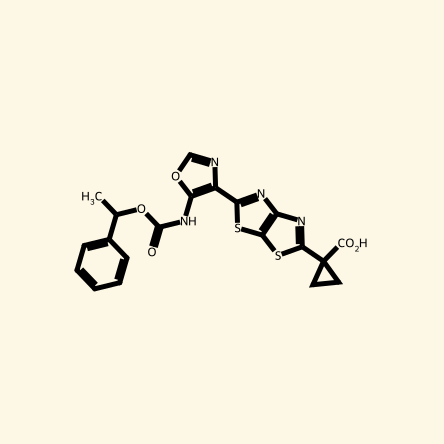 CC(OC(=O)Nc1ocnc1-c1nc2nc(C3(C(=O)O)CC3)sc2s1)c1ccccc1